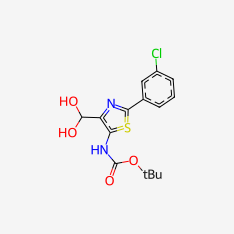 CC(C)(C)OC(=O)Nc1sc(-c2cccc(Cl)c2)nc1C(O)O